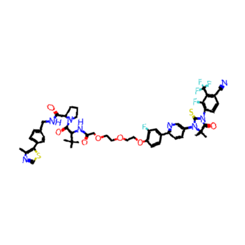 Cc1ncsc1-c1ccc(CNC(=O)C2CCCN2C(=O)C(NC(=O)COCCOCCOc2ccc(-c3ccc(N4C(=S)N(c5ccc(C#N)c(C(F)(F)F)c5F)C(=O)C4(C)C)cn3)cc2F)C(C)(C)C)cc1